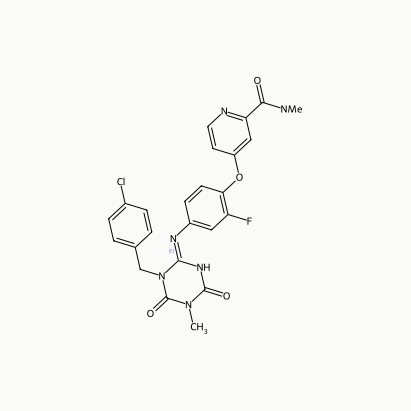 CNC(=O)c1cc(Oc2ccc(/N=c3\[nH]c(=O)n(C)c(=O)n3Cc3ccc(Cl)cc3)cc2F)ccn1